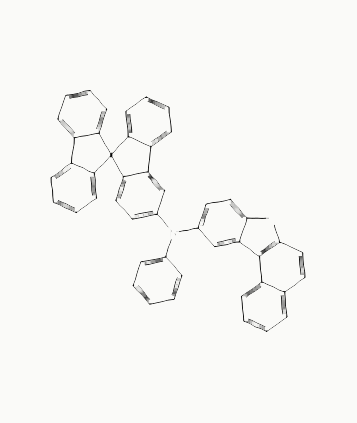 c1ccc(N(c2ccc3c(c2)-c2ccccc2C32c3ccccc3-c3ccccc32)c2ccc3oc4ccc5ccccc5c4c3c2)cc1